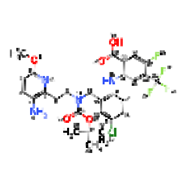 COc1ccc(N)c(CCN(Cc2cc(Cl)ccc2Nc2cc(C(F)(F)F)c(F)cc2C(=O)O)C(=O)OC(C)(C)C)n1